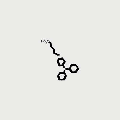 O=C(O)CCCCBr.c1ccc(P(c2ccccc2)c2ccccc2)cc1